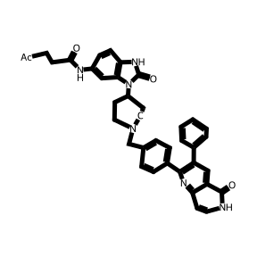 CC(=O)CCC(=O)Nc1ccc2[nH]c(=O)n(C3CCN(Cc4ccc(-c5nc6cc[nH]c(=O)c6cc5-c5ccccc5)cc4)CC3)c2c1